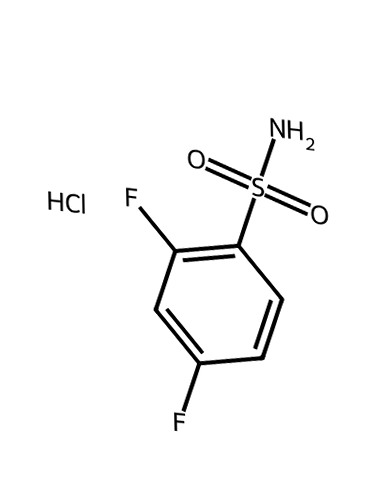 Cl.NS(=O)(=O)c1ccc(F)cc1F